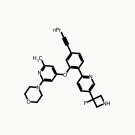 CCCC#Cc1ccc(-c2ccc(C3(F)CNC3)cn2)c(Oc2cc(C)nc(N3CCOCC3)c2)c1